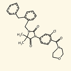 CC1(C)C(=O)N(c2ccc(C(=O)N3CCOCC3)c(Cl)c2)C(=O)N1Cc1ccccc1Cc1ccccc1